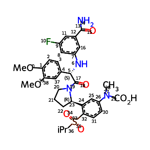 COc1ccc([C@H](Nc2cc(F)cc(C(N)=O)c2)C(=O)N2CCC[C@@H]2c2cc(N(C)C(=O)O)ccc2S(=O)(=O)C(C)C)cc1OC